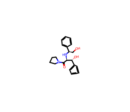 O=C([C@@H](N[C@H](CO)c1ccccc1)[C@H](O)c1ccccc1)N1CCCC1